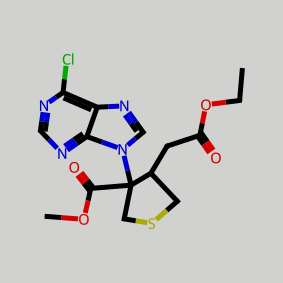 CCOC(=O)CC1CSCC1(C(=O)OC)n1cnc2c(Cl)ncnc21